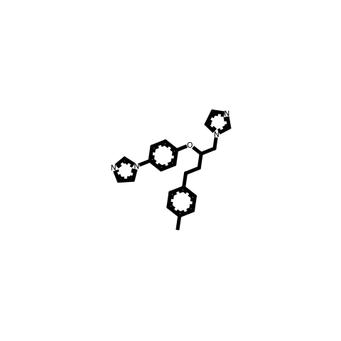 Cc1ccc(CCC(Cn2ccnc2)Oc2ccc(-n3ccnc3)cc2)cc1